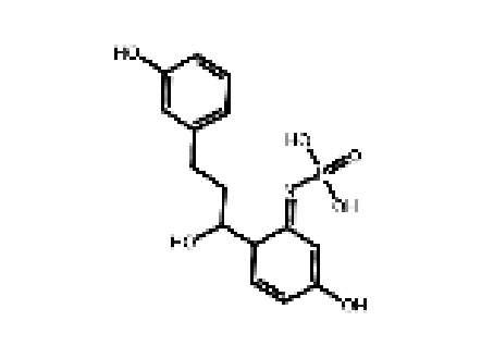 O=P(O)(O)N=C1C=C(O)C=CC1C(O)CCc1cccc(O)c1